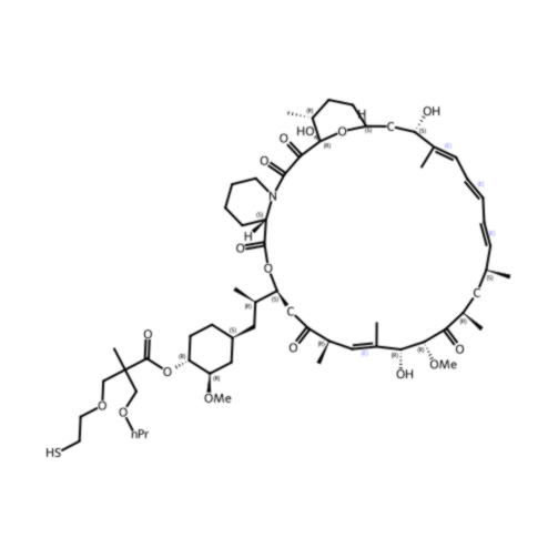 CCCOCC(C)(COCCS)C(=O)O[C@@H]1CC[C@@H](C[C@@H](C)[C@@H]2CC(=O)[C@H](C)/C=C(\C)[C@@H](O)[C@@H](OC)C(=O)[C@H](C)C[C@H](C)/C=C/C=C/C=C(\C)[C@@H](O)C[C@@H]3CC[C@@H](C)[C@@](O)(O3)C(=O)C(=O)N3CCCC[C@H]3C(=O)O2)C[C@H]1OC